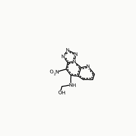 O=[N+]([O-])c1c(NCO)c2cccnc2n2nnnc12